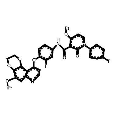 CCOc1ccn(-c2ccc(F)cc2)c(=O)c1C(=O)Nc1ccc(Oc2ccnc3cc(OC(C)C)c4c(c23)OCCO4)c(F)c1